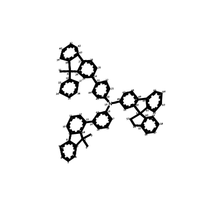 CC1(C)c2ccccc2-c2cccc(-c3cccc(N(c4ccc(-c5ccc6c(c5)C(C)(c5ccccc5)c5ccccc5-6)cc4)c4ccc5c(c4)C4(CCc6ccccc64)c4ccccc4-5)c3)c21